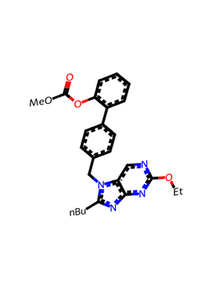 CCCCc1nc2nc(OCC)ncc2n1Cc1ccc(-c2ccccc2OC(=O)OC)cc1